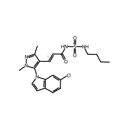 CCCCNS(=O)(=O)NC(=O)/C=C/c1c(C)nn(C)c1-n1ccc2ccc(Cl)cc21